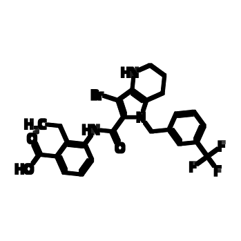 CCc1c(NC(=O)c2c(Br)c3c(n2Cc2cccc(C(F)(F)F)c2)CCCN3)cccc1C(=O)O